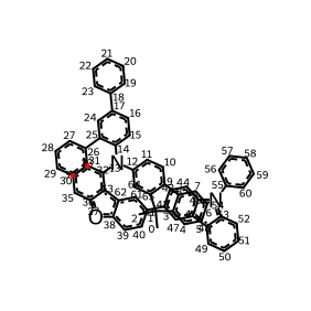 CC1(C)c2ccccc2-c2ccc(N(c3ccc(-c4ccccc4)cc3-c3ccccc3)c3cccc4oc5ccc(-c6ccc7c(c6)c6ccccc6n7-c6ccccc6)cc5c34)cc21